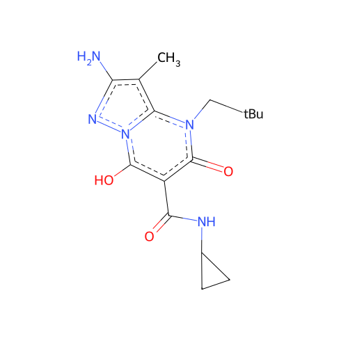 Cc1c(N)nn2c(O)c(C(=O)NC3CC3)c(=O)n(CC(C)(C)C)c12